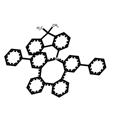 CC1(C)c2ccccc2-c2c(-n3c4ccc(-c5ccccc5)cc4c4ccccc4c4ccccc4c4cc(-c5ccccc5)ccc43)cccc21